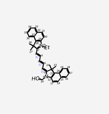 CC[N+]1=C(/C=C/C=C/C=C2/N(CO)c3ccc4ccccc4c3C2(C)C)C(C)(C)c2c1ccc1ccccc21